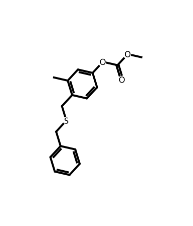 COC(=O)Oc1ccc(CSCc2ccccc2)c(C)c1